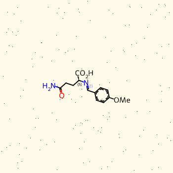 COc1ccc(/C=N/[C@@H](CCC(N)=O)C(=O)O)cc1